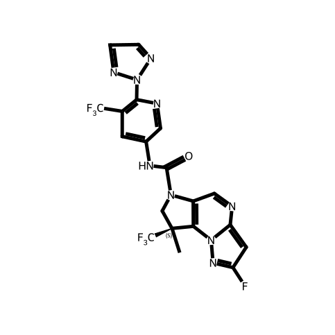 C[C@]1(C(F)(F)F)CN(C(=O)Nc2cnc(-n3nccn3)c(C(F)(F)F)c2)c2cnc3cc(F)nn3c21